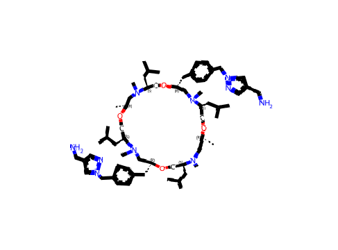 CC(C)C[C@H]1CO[C@H](C)CN(C)[C@@H](CC(C)C)CO[C@H](Cc2ccc(Cn3cc(CN)cn3)cc2)CN(C)[C@@H](CC(C)C)CO[C@H](C)CN(C)[C@@H](CC(C)C)CO[C@H](Cc2ccc(Cn3cc(CN)cn3)cc2)CN1C